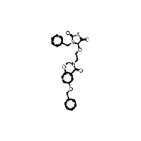 O=C1SC(=O)N(Cc2ccccc2)C1OCCN1COc2ccc(OCc3ccccc3)cc2C1=O